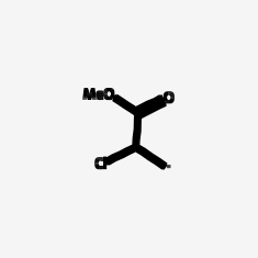 [CH2]C(Cl)C(=O)OC